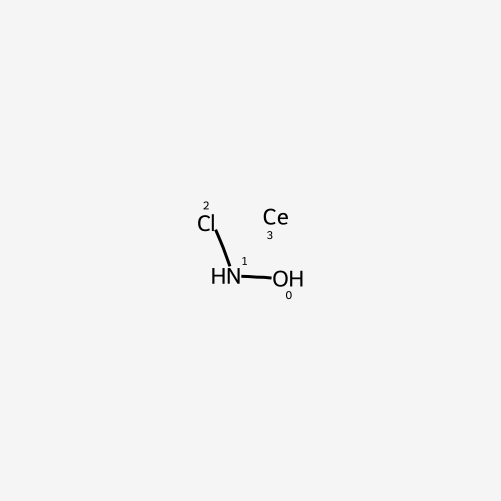 ONCl.[Ce]